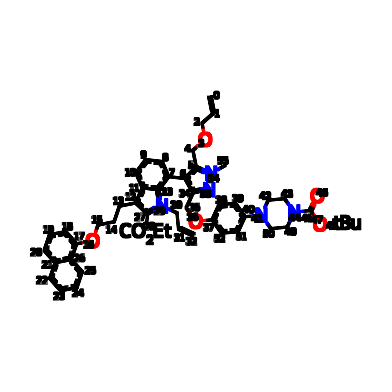 C=CCOCc1c(-c2cccc3c(CCCOc4cccc5ccccc45)c(C(=O)OCC)n(CC=C)c23)c(COc2ccc(N3CCN(C(=O)OC(C)(C)C)CC3)cc2)nn1C